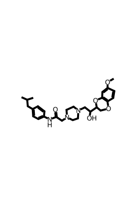 COc1ccc2c(c1)OC(C(O)CN1CCN(CC(=O)Nc3ccc(CC(C)C)cc3)CC1)CO2